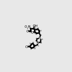 O=c1oc2cc(CN3CCN(Cc4ccc(Cl)cc4)CC3)ccc2c(O)c1[N+](=O)[O-]